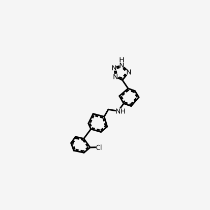 Clc1ccccc1-c1ccc(CNc2cccc(-c3nn[nH]n3)c2)cc1